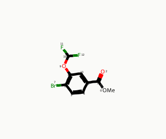 COC(=O)c1ccc(Br)c(OC(F)F)c1